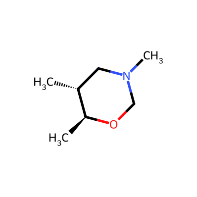 C[C@@H]1CN(C)CO[C@H]1C